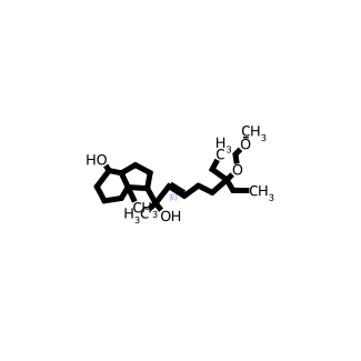 CCC(CC)(CC/C=C/C(C)(O)C1CCC2C(O)CCCC21C)OCOC